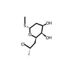 CS[C@@H]1C[C@@H](O)[C@@H](O)[C@@H](C[C@H](C)Cl)O1